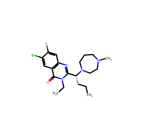 CCC[C@H](c1nc2cc(F)c(Br)cc2c(=O)n1CC)N1CCCN(C)CC1